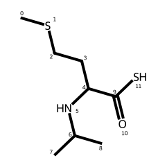 CSCCC(NC(C)C)C(=O)S